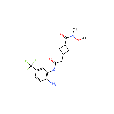 CON(C)C(=O)C1CC(CC(=O)Nc2cc(C(F)(F)F)ccc2N)C1